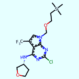 C[Si](C)(C)CCOCn1cc(C(F)(F)F)c2c(N[C@@H]3CCOC3)nc(Cl)nc21